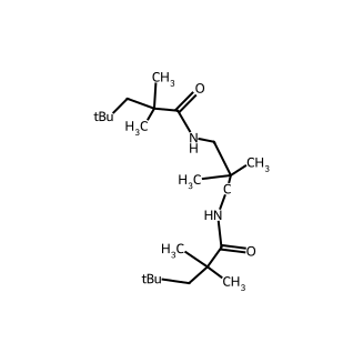 CC(C)(C)CC(C)(C)C(=O)NCC(C)(C)CNC(=O)C(C)(C)CC(C)(C)C